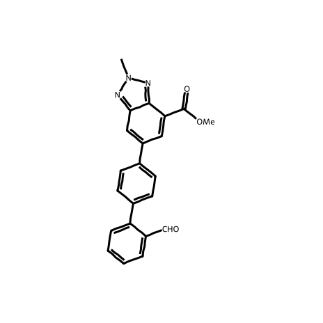 COC(=O)c1cc(-c2ccc(-c3ccccc3C=O)cc2)cc2nn(C)nc12